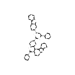 c1ccc(-c2cc(-c3ccc4c(c3)oc3ccccc34)nc(-c3ccc4nc(-c5ccccc5)c5ccc6sc7ccccc7c6c5c4c3)n2)cc1